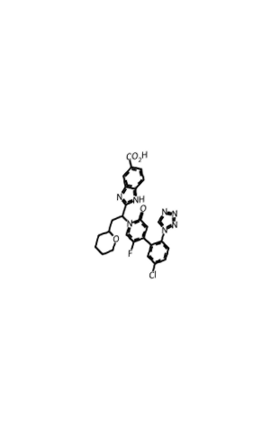 O=C(O)c1ccc2[nH]c(C(CC3CCCCO3)n3cc(F)c(-c4cc(Cl)ccc4-n4cnnn4)cc3=O)nc2c1